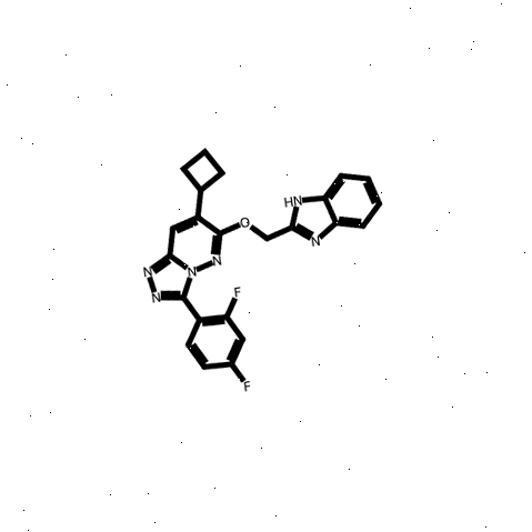 Fc1ccc(-c2nnc3cc(C4CCC4)c(OCc4nc5ccccc5[nH]4)nn23)c(F)c1